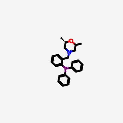 CC1CN(Cc2ccccc2P(c2ccccc2)c2ccccc2)C[C@H](C)O1